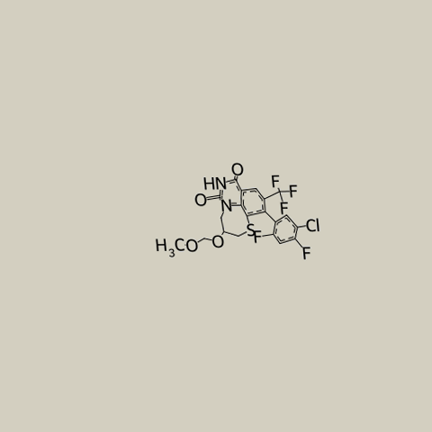 COCOC1CSc2c(-c3cc(Cl)c(F)cc3F)c(C(F)(F)F)cc3c(=O)[nH]c(=O)n(c23)C1